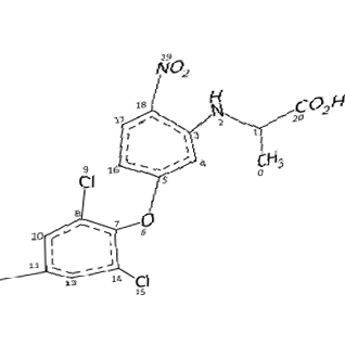 CC(Nc1cc(Oc2c(Cl)cc(Cl)cc2Cl)ccc1[N+](=O)[O-])C(=O)O